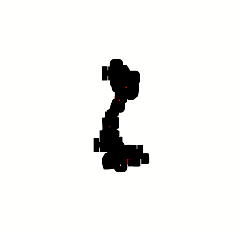 CC(=O)c1c(C)c2cnc(Nc3ccc(N4CCN(CCCOCCOc5cccc6c5C(=O)N(C5CCC(=O)NC5=O)C6=O)CC4)cn3)nc2n(C2CCCC2)c1=O